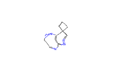 C1=NC2=C(NC1)C1(C=N2)CCC1